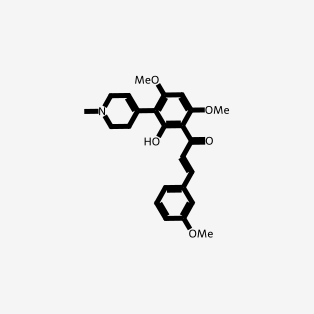 COc1cccc(/C=C/C(=O)c2c(OC)cc(OC)c(C3=CCN(C)CC3)c2O)c1